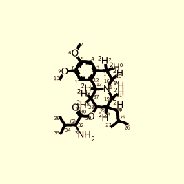 [2H]C1([2H])c2cc(OC)c(OC)cc2C2([2H])N(C1([2H])[2H])C([2H])([2H])C([2H])(CC(C)C)C(OC(=O)[C@@H](N)C(C)C)C2([2H])[2H]